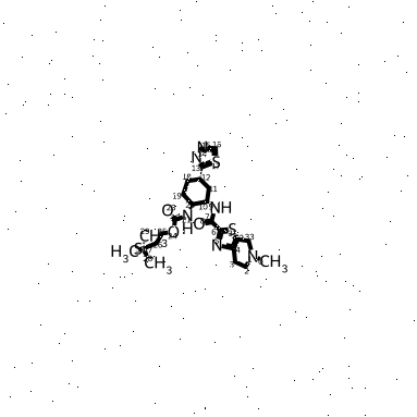 CN1CCc2nc(C(=O)N[C@H]3C[C@@H](c4nncs4)CC[C@@H]3NC(=O)OCC[Si](C)(C)C)sc2C1